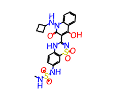 CNS(=O)(=O)Nc1ccc2c(c1)S(=O)(=O)N=C(c1c(O)c3ccccc3n(NC3CCC3)c1=O)N2